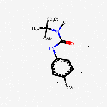 CCOC(=O)C(C)(OC)N(C)C(=O)Nc1ccc(OC)cc1